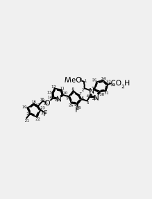 COCCn1c(Cc2ccc(-c3cccc(OCc4ccc(C)cc4F)n3)cc2F)nc2cc(C(=O)O)ccc21